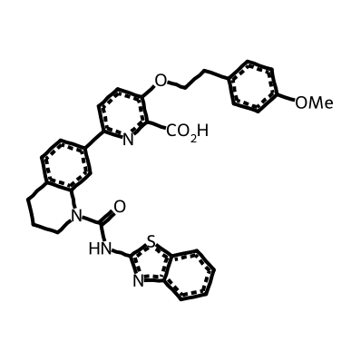 COc1ccc(CCOc2ccc(-c3ccc4c(c3)N(C(=O)Nc3nc5ccccc5s3)CCC4)nc2C(=O)O)cc1